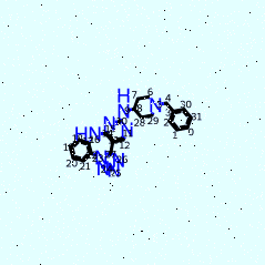 c1ccc(CN2CCC(Nc3ncc4c(n3)Nc3ccccc3-n3nnnc3-4)CC2)cc1